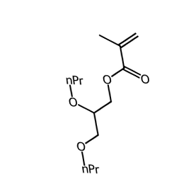 C=C(C)C(=O)OCC(COCCC)OCCC